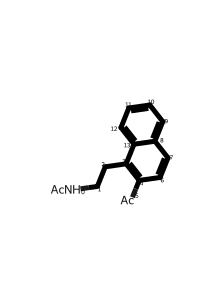 CC(=O)NCCc1c(C(C)=O)ccc2ccccc12